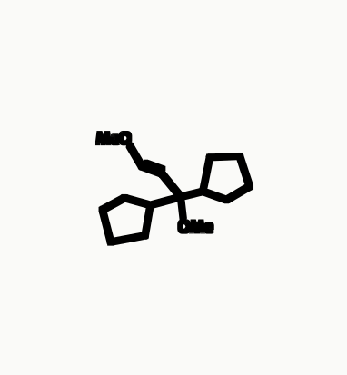 COC=CC(OC)(C1CCCC1)C1CCCC1